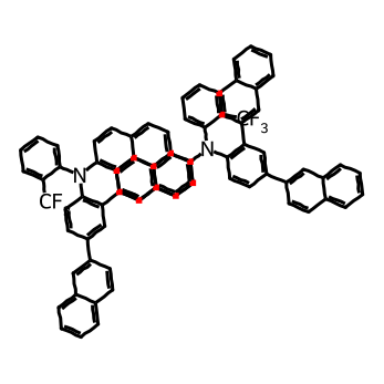 FC(F)(F)c1ccccc1N(C1=C2C=CC3=C4C(=CC=C(C=C1)C24)C(N(c1ccc(-c2ccc4ccccc4c2)cc1-c1ccc2ccccc2c1)c1ccccc1C(F)(F)F)C=C3)c1ccc(-c2ccc3ccccc3c2)cc1-c1ccc2ccccc2c1